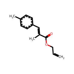 C=CCOC(=O)/C(C)=C/c1ccc(C)cc1